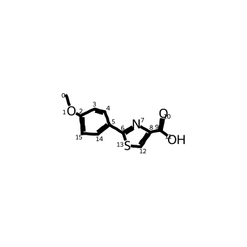 COc1ccc(-c2nc(C(=O)O)cs2)cc1